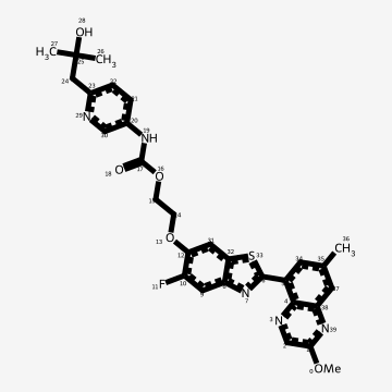 COc1cnc2c(-c3nc4cc(F)c(OCCOC(=O)Nc5ccc(CC(C)(C)O)nc5)cc4s3)cc(C)cc2n1